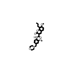 CCCc1c(OC)ccc2cc(C(=O)Nc3ccc(CN4CCOCC4)cc3OC)c(=O)oc12